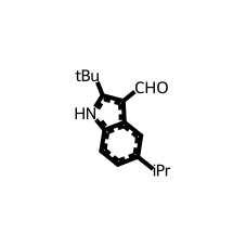 CC(C)c1ccc2[nH]c(C(C)(C)C)c(C=O)c2c1